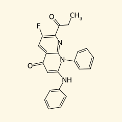 CCC(=O)c1nc2c(cc1F)c(=O)cc(Nc1ccccc1)n2-c1ccccc1